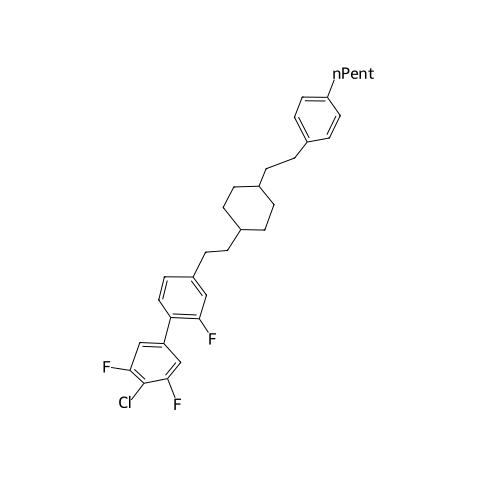 CCCCCc1ccc(CCC2CCC(CCc3ccc(-c4cc(F)c(Cl)c(F)c4)c(F)c3)CC2)cc1